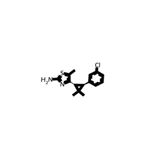 Cc1sc(N)nc1[C@@H]1[C@@H](c2cccc(Cl)c2)C1(C)C